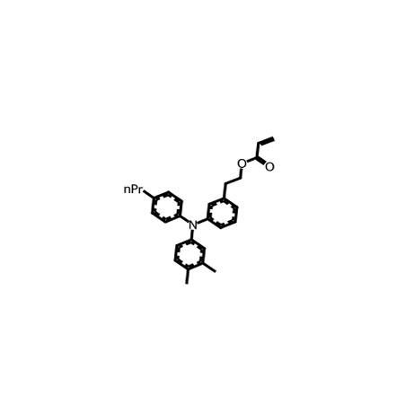 C=CC(=O)OCCc1cccc(N(c2ccc(CCC)cc2)c2ccc(C)c(C)c2)c1